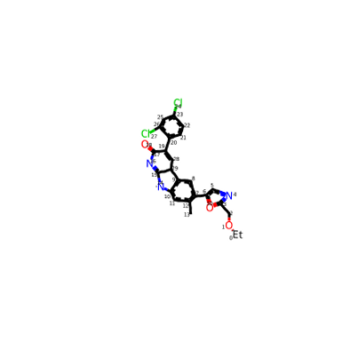 CCOCc1ncc(-c2cc3c(cc2C)[N]C2=NC(=O)C(c4ccc(Cl)cc4Cl)=CC23)o1